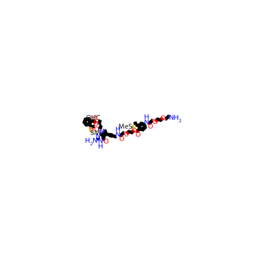 CSSC(C)c1cc(NC(=O)COCCOCCN)ccc1C(=O)OCCOCC(=O)NCC#Cc1cn([C@H](O)C[C@H](CC=O)OC(=O)c2ccccc2C(C)SSC)c2nc(N)[nH]c(=O)c12